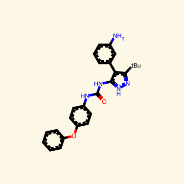 CC(C)(C)c1n[nH]c(NC(=O)Nc2ccc(Oc3ccccc3)cc2)c1-c1cccc(N)c1